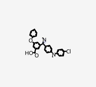 C/N=C(/c1ccc(N(C)c2ccc(Cl)cc2)cc1)c1cc(Oc2ccccc2)cc(C(=O)O)c1